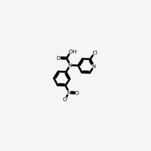 O=C(O)N(c1cccc([N+](=O)[O-])c1)c1ccnc(Cl)c1